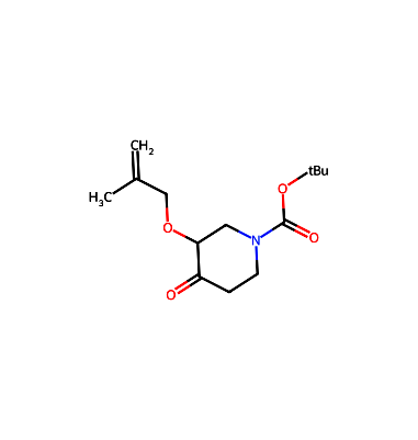 C=C(C)COC1CN(C(=O)OC(C)(C)C)CCC1=O